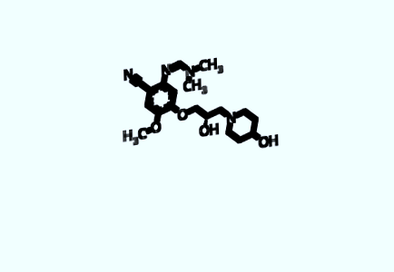 COc1cc(C#N)c(/N=C\N(C)C)cc1OC[C@@H](O)CN1CCC(O)CC1